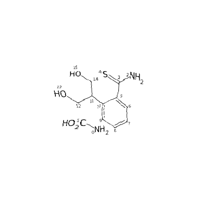 NC(=O)O.NC(=S)c1ccccc1C(CO)CO